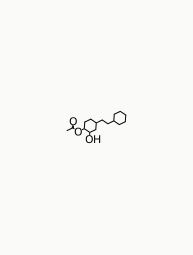 CC(=O)OC1CCC(CCC2CCCCC2)CC1O